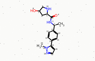 C[C@H](NC(=O)C1CC(O)CN1)c1ccc(-c2ccnn2C)cc1